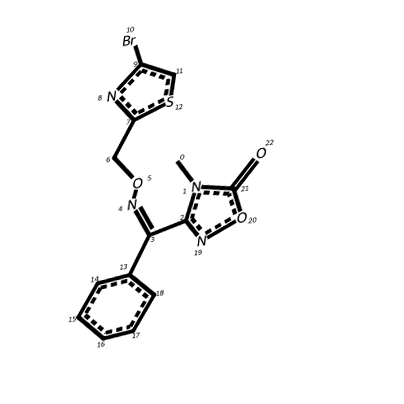 Cn1c(/C(=N\OCc2nc(Br)cs2)c2ccccc2)noc1=O